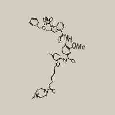 COc1cc(C(=O)N(C)c2ccc(C)cc2OCCCCCC(=O)N2CCN(C)CC2)ccc1NC(=O)c1cccc2c1CC(COCc1ccccc1)N2C(=O)OC(C)(C)C